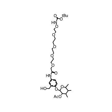 CC(=O)OC1C(Oc2ccc(NC(=O)COCCOCCOCCOCCONC(=O)OC(C)(C)C)cc2CO)OC(C)C(C)C1C